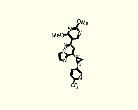 COc1ncc(-c2cc([C@H]3C[C@@H]3c3ccc(C(F)(F)F)nc3)c3nccn3n2)c(OC)n1